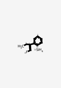 CCC(=CF)c1ccccc1.[SiH4]